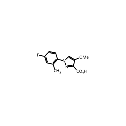 COc1cn(-c2ccc(F)cc2C)nc1C(=O)O